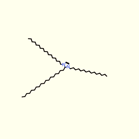 CCCCCCCCCCCCCCCCCCC1N(CCCCCCCCCCCCCCC)C=CN1CCCCCCCCCCCCCCCCC